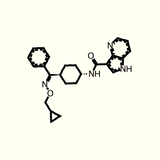 O=C(N[C@H]1CC[C@H](/C(=N\OCC2CC2)c2ccccc2)CC1)c1c[nH]c2cccnc12